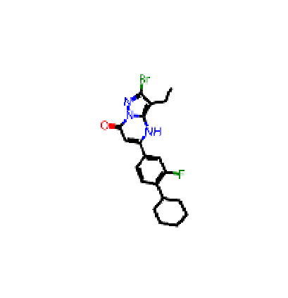 CCc1c(Br)nn2c(=O)cc(-c3ccc(C4CCCCC4)c(F)c3)[nH]c12